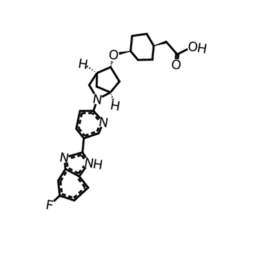 O=C(O)C[C@H]1CC[C@@H](O[C@@H]2C[C@@H]3C[C@H]2CN3c2ccc(-c3nc4cc(F)ccc4[nH]3)cn2)CC1